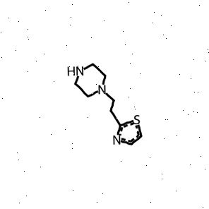 c1csc(CCN2CCNCC2)n1